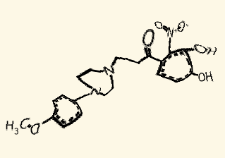 COc1ccc(N2CCN(CCC(=O)c3ccc(O)c(O)c3[N+](=O)[O-])CC2)cc1